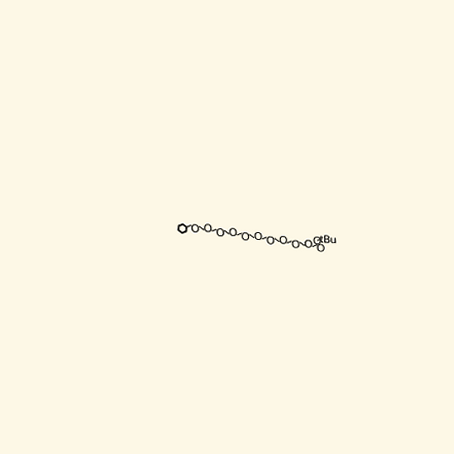 CC(C)(C)OC(=O)COCCOCCOCCOCCOCCOCCOCCOCCOCCOCc1ccccc1